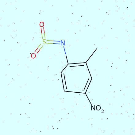 Cc1cc([N+](=O)[O-])ccc1N=S(=O)=O